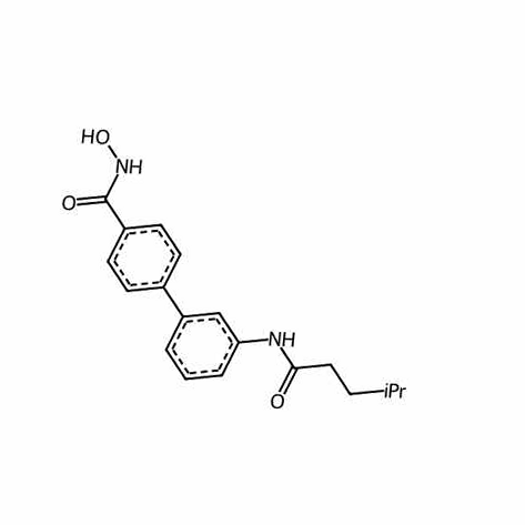 CC(C)CCC(=O)Nc1cccc(-c2ccc(C(=O)NO)cc2)c1